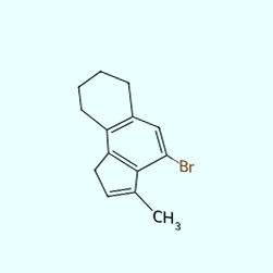 CC1=CCc2c3c(cc(Br)c21)CCCC3